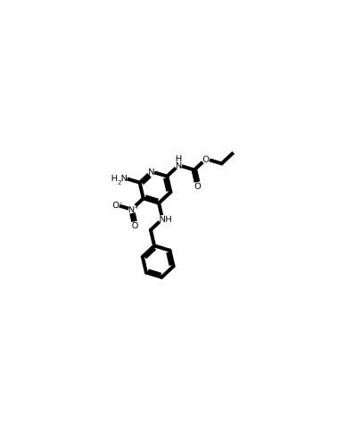 CCOC(=O)Nc1cc(NCc2ccccc2)c([N+](=O)[O-])c(N)n1